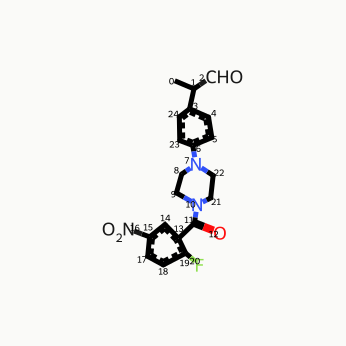 CC(C=O)c1ccc(N2CCN(C(=O)c3cc([N+](=O)[O-])ccc3F)CC2)cc1